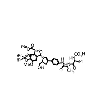 COc1cc(C(=O)N2C=C(c3ccc(NC(=O)C(C)NC(=O)C(NC(=O)O)C(C)C)cc3)CC2CO)c(NC(=O)OC(C)(C)C)cc1O[Si](C(C)C)(C(C)C)C(C)C